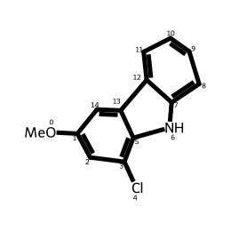 COc1cc(Cl)c2[nH]c3ccccc3c2c1